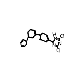 ClC1=NC(C2=CCC(C3=CCCC(C4C=CC=CC4)C3)CC2)NC(Cl)=N1